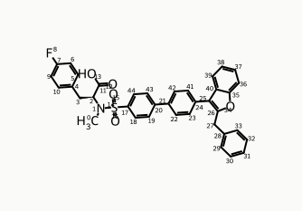 CN([C@@H](Cc1ccc(F)cc1)C(=O)O)S(=O)(=O)c1ccc(-c2ccc(-c3c(Cc4ccccc4)oc4ccccc34)cc2)cc1